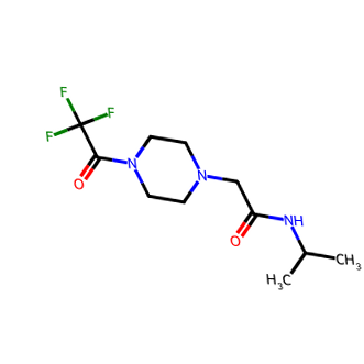 CC(C)NC(=O)CN1CCN(C(=O)C(F)(F)F)CC1